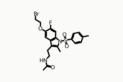 CC(=O)NCCc1c(C)n(S(=O)(=O)c2ccc(C)cc2)c2cc(F)c(OCCBr)cc12